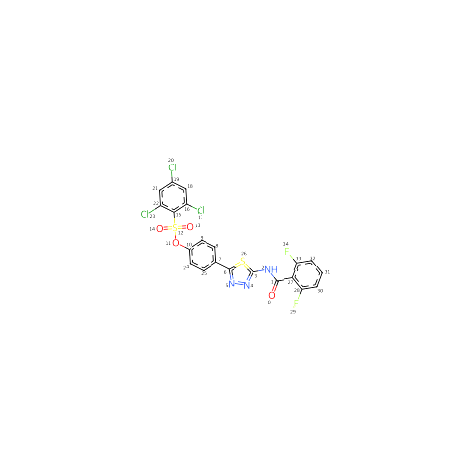 O=C(Nc1nnc(-c2ccc(OS(=O)(=O)c3c(Cl)cc(Cl)cc3Cl)cc2)s1)c1c(F)cccc1F